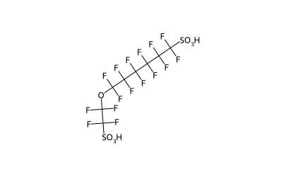 O=S(=O)(O)C(F)(F)C(F)(F)OC(F)(F)C(F)(F)C(F)(F)C(F)(F)C(F)(F)C(F)(F)S(=O)(=O)O